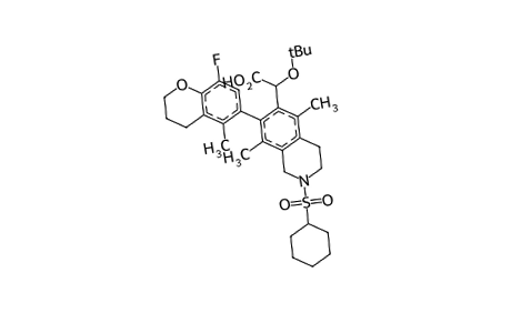 Cc1c(-c2c(C)c3c(c(C)c2C(OC(C)(C)C)C(=O)O)CCN(S(=O)(=O)C2CCCCC2)C3)cc(F)c2c1CCCO2